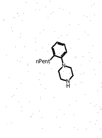 CCCCCc1ccccc1N1CCNCC1